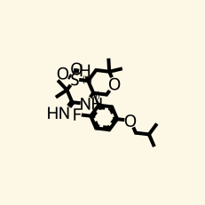 CC(C)COc1ccc(F)c([C@]23COC(C)(C)C[C@H]2S(=O)(=O)C(C)(C)C(=N)N3)c1